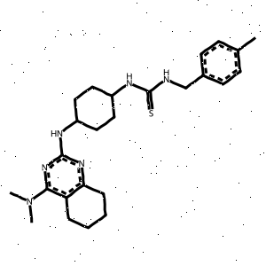 Cc1ccc(CNC(=S)NC2CCC(Nc3nc4c(c(N(C)C)n3)CCCC4)CC2)cc1